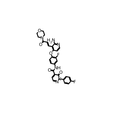 Nc1nccc(Oc2ccc(NC(=O)c3ccnn(-c4ccc(F)cc4)c3=O)cc2F)c1C=CC(=O)N1CCOCC1